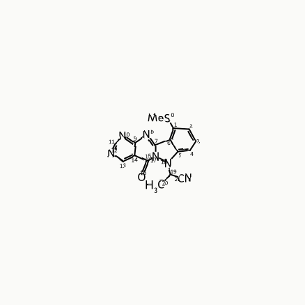 CSc1cccc2c1c1nc3ncncc3c(=O)n1n2C(C)C#N